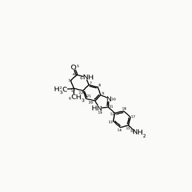 CC1(C)CC(=O)Nc2cc3nc(-c4ccc(N)cc4)[nH]c3cc21